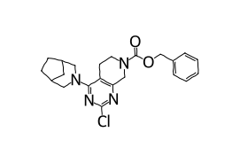 O=C(OCc1ccccc1)N1CCc2c(nc(Cl)nc2N2CC3CCC(C3)C2)C1